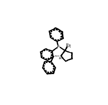 CCC1(P(c2ccccc2)c2ccccc2)CCC[C@@H]1Cc1ccccc1